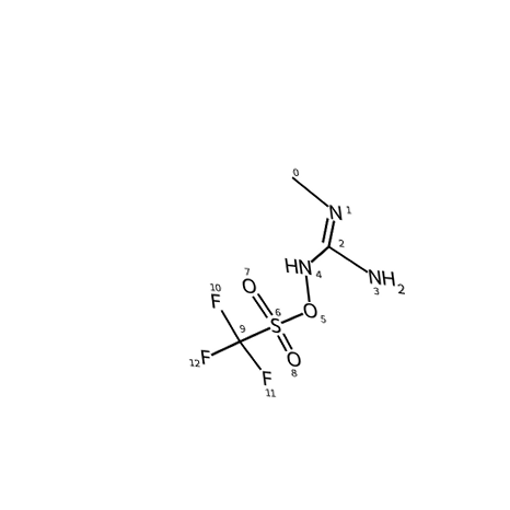 CN=C(N)NOS(=O)(=O)C(F)(F)F